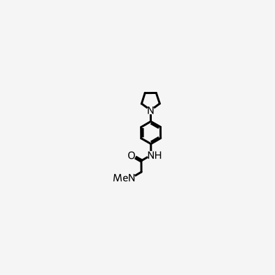 CNCC(=O)Nc1ccc(N2CCCC2)cc1